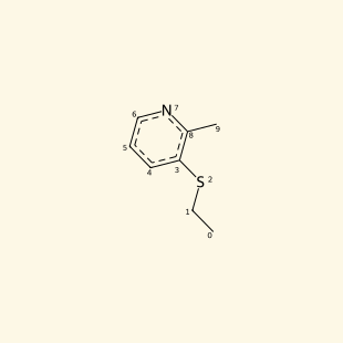 CCSc1cccnc1C